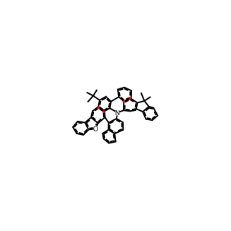 CC(C)(C)c1ccc(N(c2ccc3c(c2)-c2ccccc2C3(C)C)c2ccc3ccccc3c2-c2cccc3c2oc2ccccc23)c(-c2ccccc2)c1